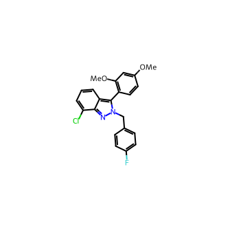 COc1ccc(-c2c3cccc(Cl)c3nn2Cc2ccc(F)cc2)c(OC)c1